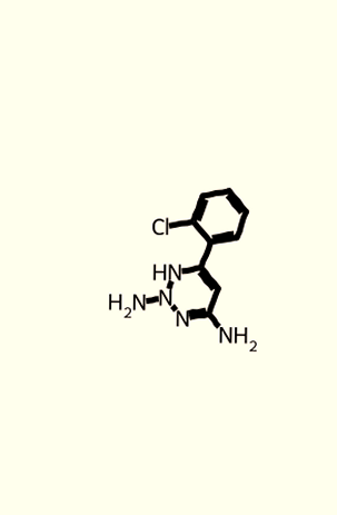 NC1=NN(N)NC(c2ccccc2Cl)=C1